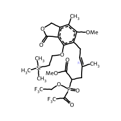 COC(=O)C(C/C(C)=C/Cc1c(OC)c(C)c2c(c1OCC[Si](C)(C)C)C(=O)OC2)P(=O)(OCC(F)(F)F)C(=O)C(F)(F)F